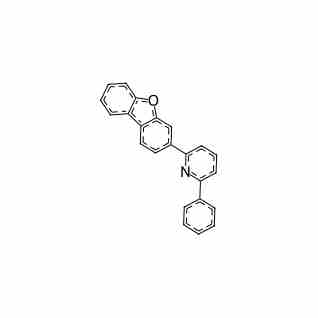 c1ccc(-c2cccc(-c3ccc4c(c3)oc3ccccc34)n2)cc1